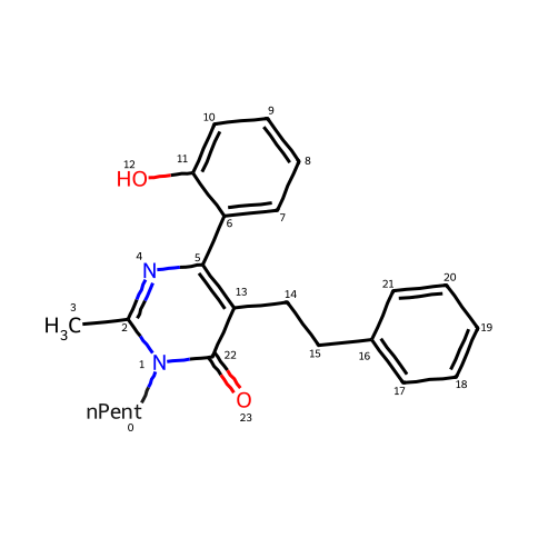 CCCCCn1c(C)nc(-c2ccccc2O)c(CCc2ccccc2)c1=O